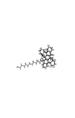 CCCCCCCCCCCCOc1c2ccccc2c2c3ccccc3nc3c4c(C)c5ccccc5c5c6ccccc6nc(c1c32)c45